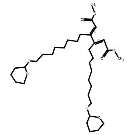 COC(=O)/C=C(CCCCCCCCOC1CCCCO1)/C(=C/C(=O)OC)CCCCCCCCOC1CCCCO1